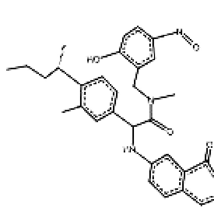 CCC[C@H](C)c1ccc(C(Nc2ccc3cc[nH]c(=O)c3c2)C(=O)N(C)Cc2cc(N=O)ccc2O)cc1C